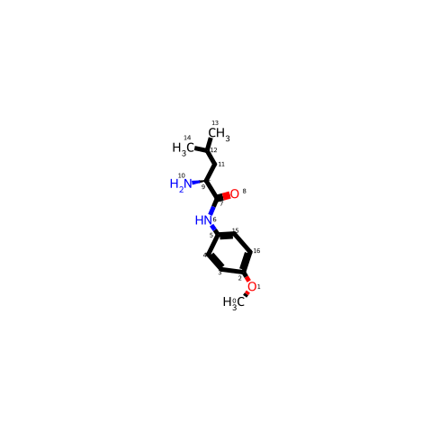 COc1ccc(NC(=O)[C@@H](N)CC(C)C)cc1